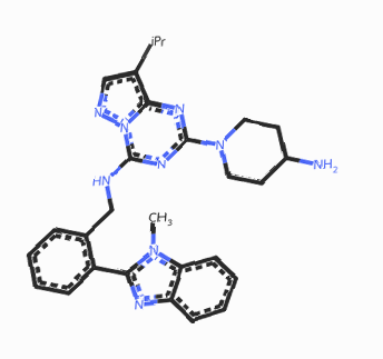 CC(C)c1cnn2c(NCc3ccccc3-c3nc4ccccc4n3C)nc(N3CCC(N)CC3)nc12